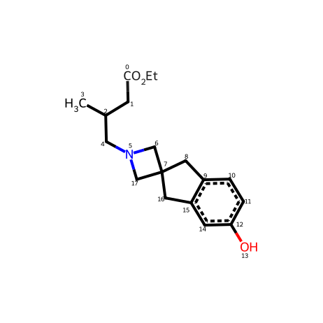 CCOC(=O)CC(C)CN1CC2(Cc3ccc(O)cc3C2)C1